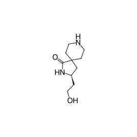 O=C1N[C@H](CCO)CC12CCNCC2